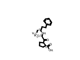 CC[C@H](CCc1ccccc1)N[C@@H](C)C(=O)C1CCC[C@H]1C(=O)O